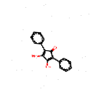 O=C1C(c2ccccc2)=C(O)C(O)=C1c1ccccc1